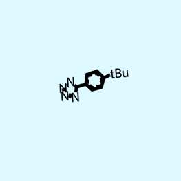 CC(C)(C)c1ccc(C2N=NN=N2)cc1